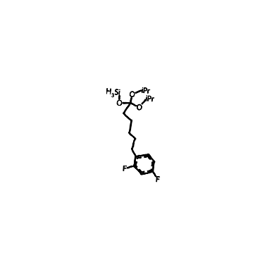 CC(C)OC(CCCCCc1ccc(F)cc1F)(O[SiH3])OC(C)C